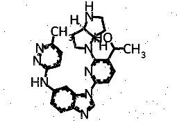 Cc1ccc(Nc2ccc3ncn(-c4ccc(C(C)O)c(N5CC[C@H]6NCC[C@@H]65)n4)c3c2)nn1